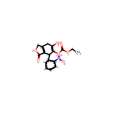 CCOC(=O)OC1=C(O)CC2=C(C(=O)OC2)C1c1ccccc1[N+](=O)[O-]